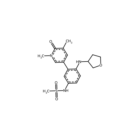 Cc1cc(-c2cc(NS(C)(=O)=O)ccc2NC2CCOC2)cn(C)c1=O